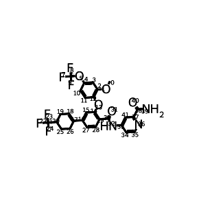 COc1cc(OC(F)(F)F)ccc1Oc1cc(C2=CCC(C(F)(F)F)CC2)ccc1C(=O)Nc1ccnc(C(N)=O)c1